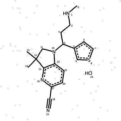 CNCCC(c1ccsc1)N1CC(C)(C)c2nc(C#N)ccc21.Cl